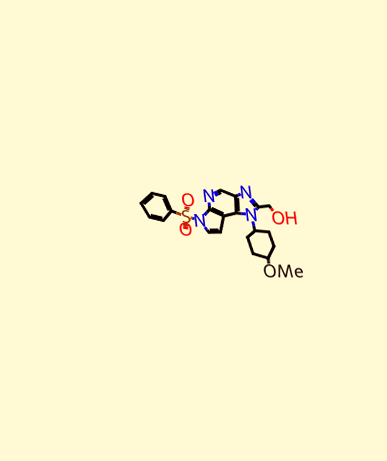 COC1CCC(n2c(CO)nc3cnc4c(ccn4S(=O)(=O)c4ccccc4)c32)CC1